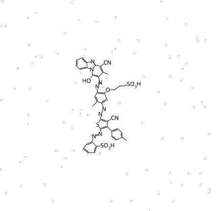 Cc1ccc(-c2c(N=Nc3ccccc3S(=O)(=O)O)sc(N=Nc3cc(OCCCS(=O)(=O)O)c(N=Nc4c(C)c(C#N)c5nc6ccccc6n5c4O)cc3C)c2C#N)cc1